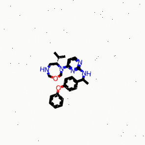 CC(Nc1nccc(N2COCNC[C@@H]2C(C)C)n1)c1ccc(Oc2ccccc2)cc1